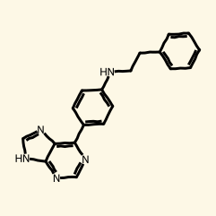 c1ccc(CCNc2ccc(-c3ncnc4[nH]cnc34)cc2)cc1